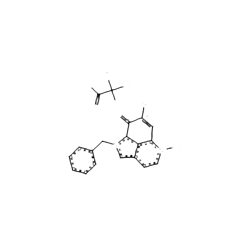 C[n+]1ccc2cn(Cc3ccccc3)c3c2c1C=C(N)C3=O.O=C([O-])C(F)(F)F